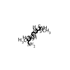 CC1=C(c2cnc3ccc(N/C(N)=C/C(=C\N)C(C)C)nc3c2)SC(C)N1